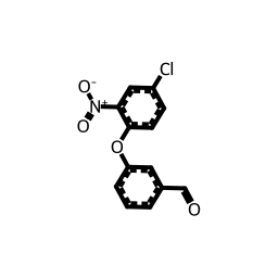 O=Cc1cccc(Oc2ccc(Cl)cc2[N+](=O)[O-])c1